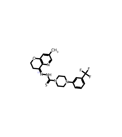 Cc1cnc2c(c1)OCC/C2=N/NC(=S)N1CCN(c2cccc(C(F)(F)F)c2)CC1